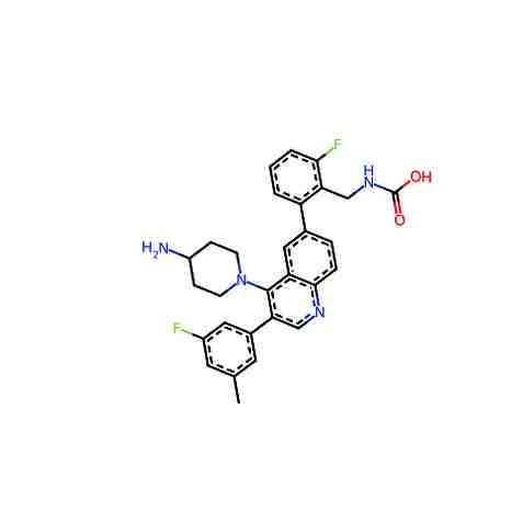 Cc1cc(F)cc(-c2cnc3ccc(-c4cccc(F)c4CNC(=O)O)cc3c2N2CCC(N)CC2)c1